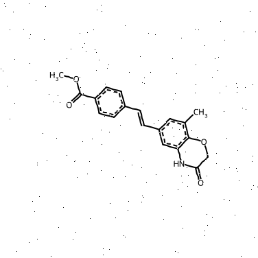 COC(=O)c1ccc(C=Cc2cc(C)c3c(c2)NC(=O)CO3)cc1